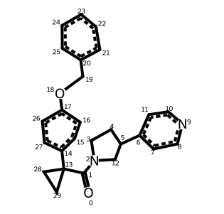 O=C(N1CCC(c2ccncc2)C1)C1(c2ccc(OCc3ccccc3)cc2)CC1